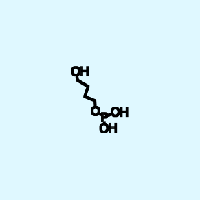 OCCCCOP(O)O